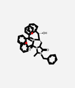 CC1N(Cc2ccccc2)C(=O)C(C[C@@H]([C@@H](O)c2ccccc2)N(Cc2ccccc2)Cc2ccccc2)N1C(=O)OCc1ccccc1